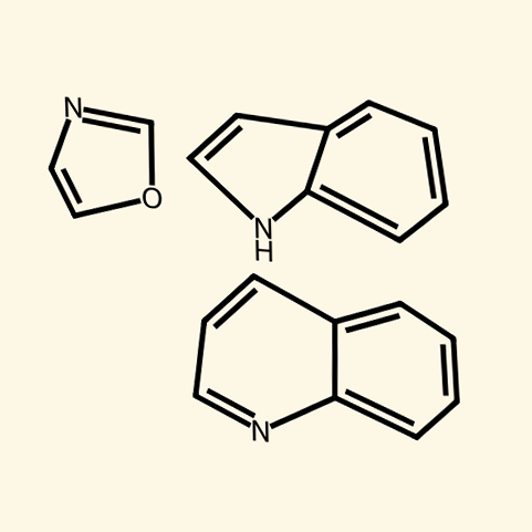 c1ccc2[nH]ccc2c1.c1ccc2ncccc2c1.c1cocn1